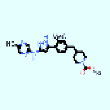 COc1cc(CC2CCN(C(=O)OC(C)(C)C)CC2)ccc1-c1cc(Nc2cnc(C#N)cn2)n[nH]1